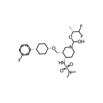 C[C@@H](OC(O)N1CC[C@H](NS(=O)(=O)N(C)C)[C@H](CO[C@H]2CC[C@@H](c3cccc(F)c3)CC2)C1)C(F)F